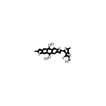 CCOc1sc2c(C)sc(-c3cc4cc5c(OCC)c6cc7sc(C)cc7cc6c(OCC)c5cc4s3)c2c1F